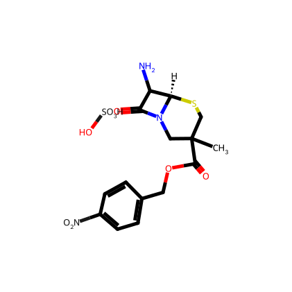 CC1(C(=O)OCc2ccc([N+](=O)[O-])cc2)CS[C@@H]2C(N)C(=O)N2C1.O=S(=O)(O)O